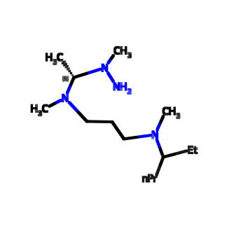 CCCC(CC)N(C)CCCN(C)[C@H](C)N(C)N